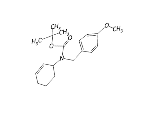 COc1ccc(CN(C(=O)OC(C)(C)C)C2C=CCCC2)cc1